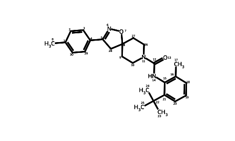 Cc1ccc(C2=NOC3(CCN(C(=O)Nc4c(C)cccc4C(C)(C)C)CC3)C2)cc1